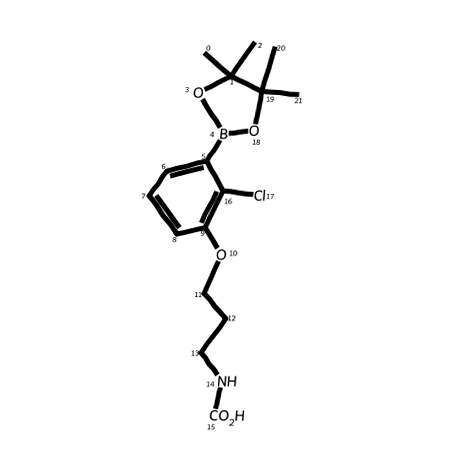 CC1(C)OB(c2cccc(OCCCNC(=O)O)c2Cl)OC1(C)C